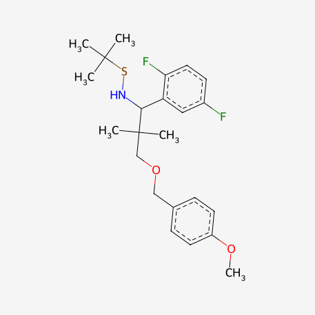 COc1ccc(COCC(C)(C)C(NSC(C)(C)C)c2cc(F)ccc2F)cc1